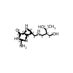 C[C@@H](O)[C@@H](CO)CNCc1c[nH]c2c(=O)[nH]c(N)nc12